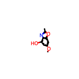 COc1cc(O)c2nc(C)oc2c1